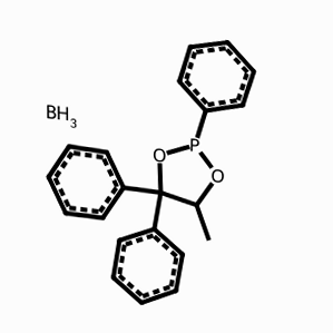 B.CC1OP(c2ccccc2)OC1(c1ccccc1)c1ccccc1